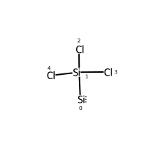 [Si][Si](Cl)(Cl)Cl